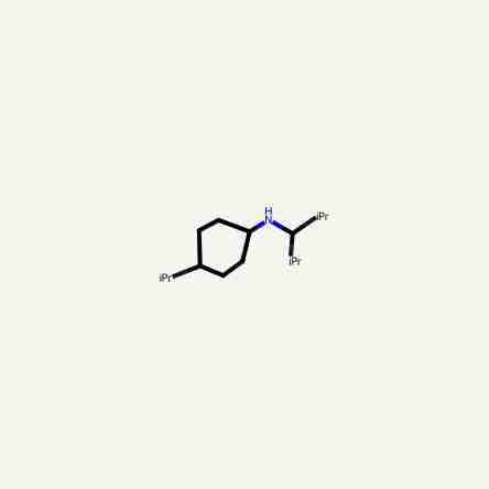 CC(C)C1CCC(NC(C(C)C)C(C)C)CC1